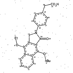 CCCCOc1c2c(c(OCC)c3ccccc13)CN(c1ccc(CC(=O)O)cc1)C2=O